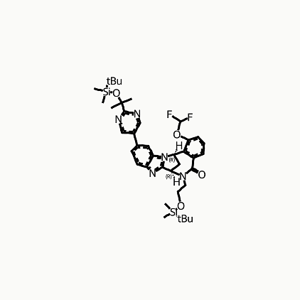 CC(C)(O[Si](C)(C)C(C)(C)C)c1ncc(-c2ccc3nc4n(c3c2)[C@@H]2C[C@H]4N(CCO[Si](C)(C)C(C)(C)C)C(=O)c3cccc(OC(F)F)c32)cn1